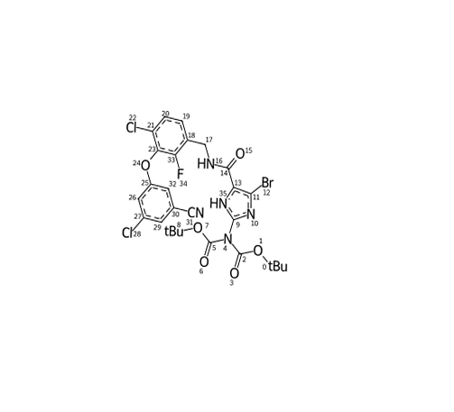 CC(C)(C)OC(=O)N(C(=O)OC(C)(C)C)c1nc(Br)c(C(=O)NCc2ccc(Cl)c(Oc3cc(Cl)cc(C#N)c3)c2F)[nH]1